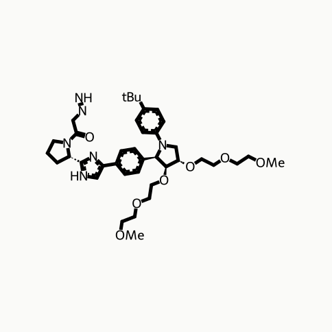 COCCOCCO[C@@H]1[C@@H](OCCOCCOC)CN(c2ccc(C(C)(C)C)cc2)[C@@H]1c1ccc(-c2c[nH]c([C@@H]3CCCN3C(=O)CN=N)n2)cc1